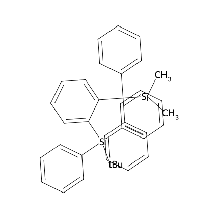 C[Si](C)C(c1ccccc1)(c1ccccc1)c1ccccc1[Si](c1ccccc1)(c1ccccc1)C(C)(C)C